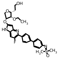 CCO[C@H]1[C@@H](CCO)OC[C@H]1Oc1cc2nc(-c3ccc(-c4ccc(N=S(C)(C)=O)cc4)cc3)c(F)cc2[nH]1